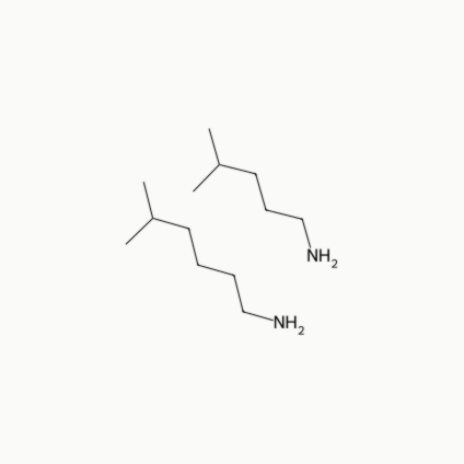 CC(C)CCCCN.CC(C)CCCN